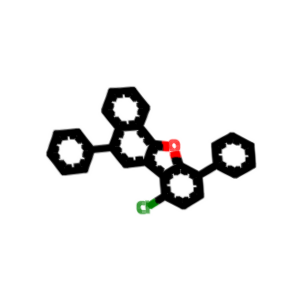 Clc1ccc(-c2ccccc2)c2oc3c4ccccc4c(-c4ccccc4)cc3c12